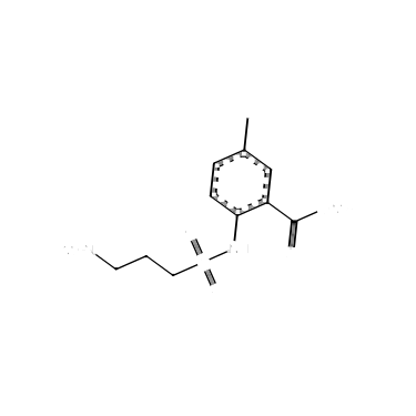 CNCCCS(=O)(=O)Nc1ccc(C)cc1C(=O)OC